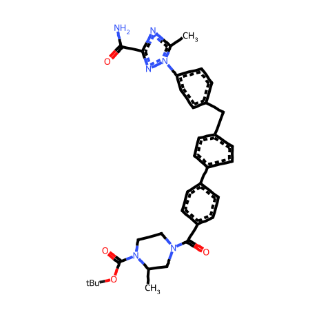 Cc1nc(C(N)=O)nn1-c1ccc(Cc2ccc(-c3ccc(C(=O)N4CCN(C(=O)OC(C)(C)C)C(C)C4)cc3)cc2)cc1